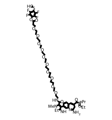 CCCN(OCC)C(=O)C1=Cc2ccc(/C(C(=N)CC)=C(/NC)C(=O)NCCOCCOCCOCCOCCOCCOCCOCCOCCOCCOCCC(=O)Oc3c(F)c(F)c(SO)c(F)c3F)cc2N=C(N)C1